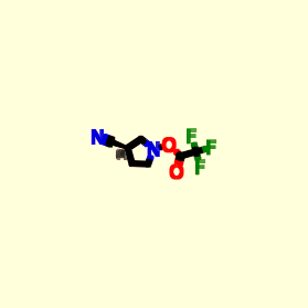 N#C[C@@H]1CCN(OC(=O)C(F)(F)F)C1